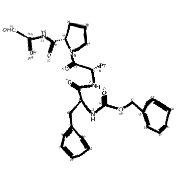 CC(C)[C@H](NC(=O)[C@H](Cc1ccccc1)NC(=O)OCc1ccccc1)C(=O)N1CCC[C@H]1C(=O)N[C@H](C=O)C(C)C